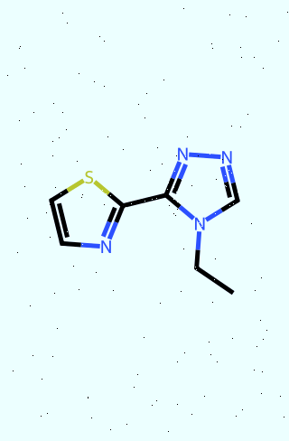 CCn1cnnc1-c1nccs1